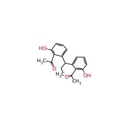 CCC(c1cccc(O)c1C(C)=O)c1cccc(O)c1C(C)=O